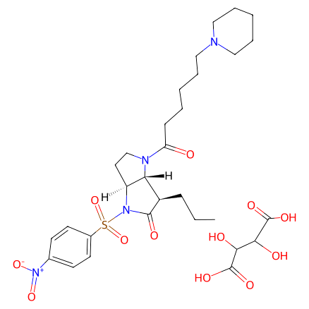 CCC[C@H]1C(=O)N(S(=O)(=O)c2ccc([N+](=O)[O-])cc2)[C@H]2CCN(C(=O)CCCCCN3CCCCC3)[C@H]12.O=C(O)C(O)C(O)C(=O)O